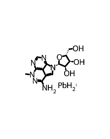 CN1N=C(N)c2cn([C@@H]3O[C@H](CO)[C@@H](O)[C@H]3O)c3ncnc1c23.[PbH2]